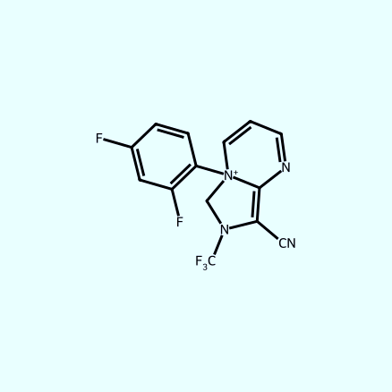 N#CC1=C2N=CC=C[N+]2(c2ccc(F)cc2F)CN1C(F)(F)F